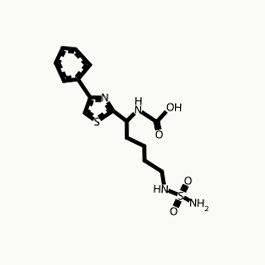 NS(=O)(=O)NCCCCC(NC(=O)O)c1nc(-c2ccccc2)cs1